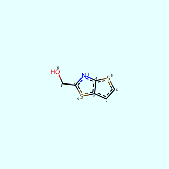 OCc1nc2sccc2s1